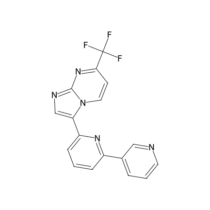 FC(F)(F)c1ccn2c(-c3cccc(-c4cccnc4)n3)cnc2n1